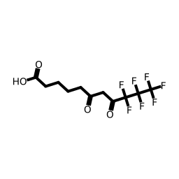 O=C(O)CCCCC(=O)CC(=O)C(F)(F)C(F)(F)C(F)(F)F